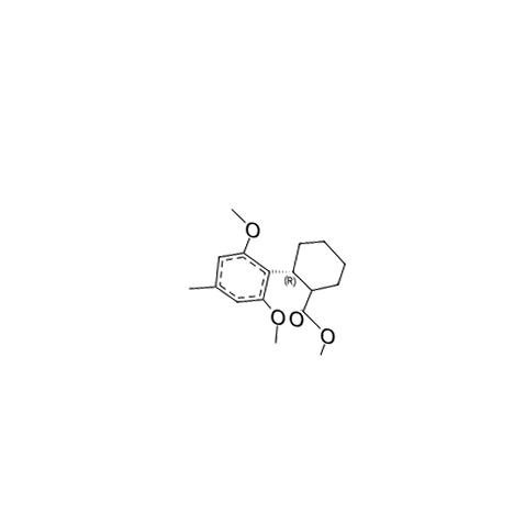 COC(=O)C1CCCC[C@H]1c1c(OC)cc(C)cc1OC